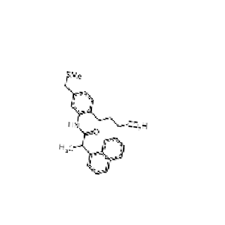 CSCc1ccc(CCCC(=O)O)c(NC(=O)C(C)c2cccc3ccccc23)c1